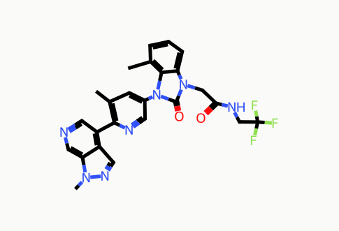 Cc1cc(-n2c(=O)n(CC(=O)NCC(F)(F)F)c3cccc(C)c32)cnc1-c1cncc2c1cnn2C